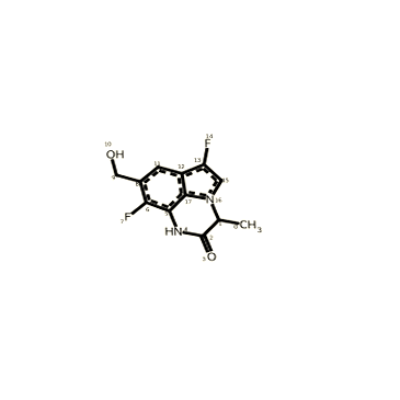 CC1C(=O)Nc2c(F)c(CO)cc3c(F)cn1c23